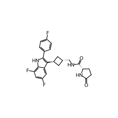 O=C1CC[C@@H](C(=O)NC[C@H]2C[C@H](c3c(-c4ccc(F)cc4)[nH]c4c(F)cc(F)cc43)C2)N1